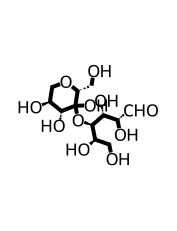 O=C[C@H](O)[C@@H](O)[C@H](OC1(O)[C@H](O)[C@@H](O)CO[C@@H]1CO)[C@H](O)CO